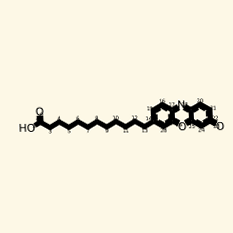 O=C(O)CCCCCCCCCCCc1ccc2nc3ccc(=O)cc-3oc2c1